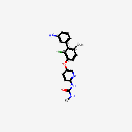 CCNC(=O)Nc1ccc(Oc2ccc(OC)c(-c3cccc(N)c3)c2F)cn1